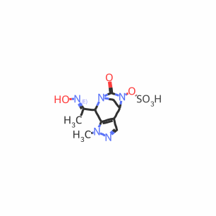 C/C(=N\O)C1c2c(cnn2C)C2CN1C(=O)N2OS(=O)(=O)O